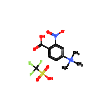 C[N+](C)(C)c1ccc(C(=O)O)c([N+](=O)[O-])c1.O=S(=O)(O)C(F)(F)F